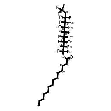 CCCCCCCCCCCCCC(=O)OC(F)(F)C(F)(F)C(F)(F)C(F)(F)C(F)(F)C(F)(F)C(F)(F)C(F)(F)CC(F)(F)F